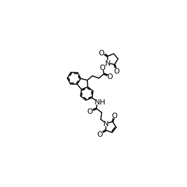 O=C(CCN1C(=O)C=CC1=O)Nc1ccc2c(c1)C(CCC(=O)ON1C(=O)CCC1=O)c1ccccc1-2